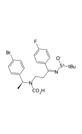 C[C@@H](c1ccc(Br)cc1)N(CC/C(=N/[S+]([O-])C(C)(C)C)c1ccc(F)cc1)C(=O)O